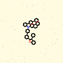 c1ccc(-c2ccc(-c3ccccc3N(c3ccc(-c4cccc(-c5oc6ccccc6c5-c5ccccc5)c4)cc3)c3ccc4c(ccc5ccccc54)c3)cc2)cc1